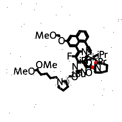 COCOc1cc(-c2ncc3c(N4CC5CCC(C4)N5C(=O)OC(C)(C)C)nc(OC[C@@H]4CCCN4CCCCC(OC)OC)nc3c2F)c2c(C#C[Si](C(C)C)(C(C)C)C(C)C)cccc2c1